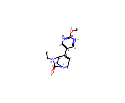 CCN1C(=O)N2CC=C(c3cnc(OC)nc3)C1C2